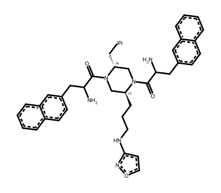 CC(C)C[C@@H]1CN(C(=O)C(N)Cc2ccc3ccccc3c2)[C@@H](CCCNc2ccon2)CN1C(=O)C(N)Cc1ccc2ccccc2c1